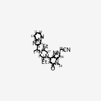 CC[C@H]1CN(C(C)c2cn3ncccc3n2)[C@H](CC)CN1c1cc(=O)n(C)c2cn(CC#N)nc12